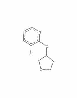 Clc1cccnc1OC1CCOC1